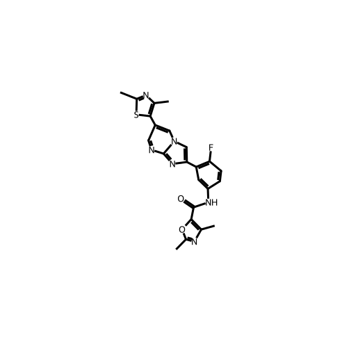 Cc1nc(C)c(C(=O)Nc2ccc(F)c(-c3cn4cc(-c5sc(C)nc5C)cnc4n3)c2)o1